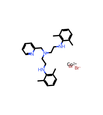 Cc1cccc(C)c1NCCN(CCNc1c(C)cccc1C)Cc1ccccn1.[Br-].[Br-].[Co+2]